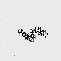 CCN(CCN(C)C)C(=O)c1cnc2c(c1)N(S(=O)(=O)c1ccc(C(F)(F)F)cc1)CCO2